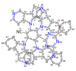 N#Cc1c(-n2c3ccccc3c3cnccc32)c(-n2c3ccccc3c3cnccc32)c(-c2nc(-c3ccccc3)nc(-c3ccccc3)n2)c(-n2c3ccccc3c3cnccc32)c1-n1c2ccccc2c2cnccc21